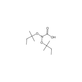 CCC(C)(C)ON(OC(C)(C)CC)C(=O)O